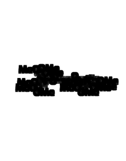 COc1cc(C[C@@H]2c3c(cc(OC)c(OC)c3OC)CC[N@@+]2(C)CCCOC(=O)CCc2cccc(CCC(=O)OCCC[N@+]3(C)CCc4cc(OC)c(OC)c(OC)c4[C@H]3Cc3cc(OC)c(OC)c(OC)c3)c2)cc(OC)c1OC